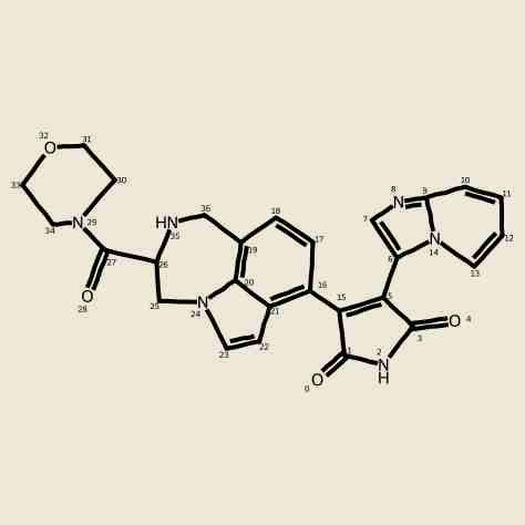 O=C1NC(=O)C(c2cnc3ccccn23)=C1c1ccc2c3c1ccn3CC(C(=O)N1CCOCC1)NC2